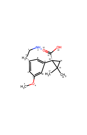 CCN.COc1cccc([C@@]2(C(=O)O)CC2(C)C)c1